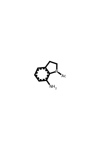 CC(=O)N1CCc2cccc(N)c21